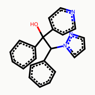 OC(c1ccccc1)(c1ccncc1)C(c1ccccc1)n1cccn1